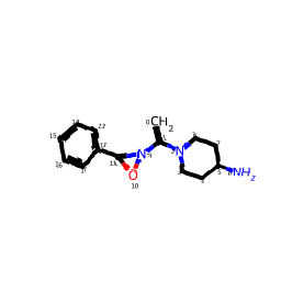 C=C(N1CCC(N)CC1)N1OC1c1ccccc1